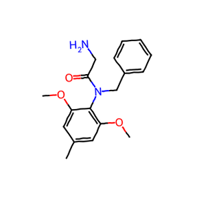 COc1cc(C)cc(OC)c1N(Cc1ccccc1)C(=O)CN